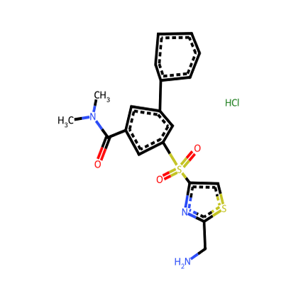 CN(C)C(=O)c1cc(-c2ccccc2)cc(S(=O)(=O)c2csc(CN)n2)c1.Cl